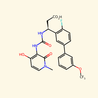 Cn1ccc(O)c(NC(=O)N[C@@H](CC(=O)O)c2cc(-c3cccc(OC(F)(F)F)c3)ccc2F)c1=O